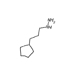 NNCCCC1CCCC1